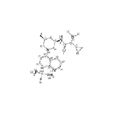 C[C@H]1C[C@@H](NC(=O)C(C2CC2)N(C)C)CN(c2ccc(C(F)(P)P)c3ncccc23)C1